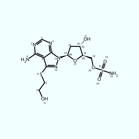 Nc1ncnc2c1c(SCCO)nn2[C@H]1C[C@H](O)[C@@H](COS(N)(=O)=O)O1